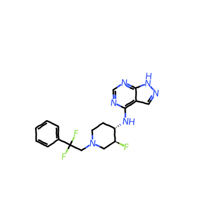 F[C@H]1CN(CC(F)(F)c2ccccc2)CC[C@@H]1Nc1ncnc2[nH]ncc12